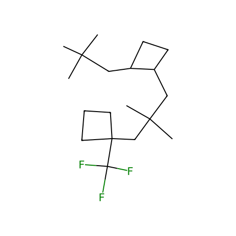 CC(C)(C)CC1CCC1CC(C)(C)CC1(C(F)(F)F)CCC1